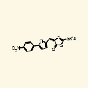 CSC1=NC(=Cc2ccc(-c3ccc([N+](=O)[O-])cc3)o2)C(=O)S1